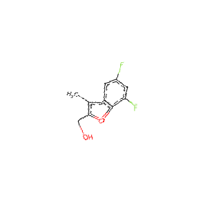 Cc1c(CO)oc2c(F)cc(F)cc12